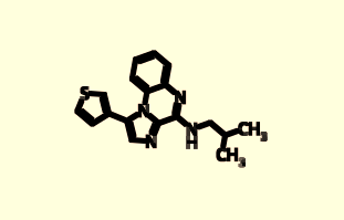 CC(C)CNc1nc2ccccc2n2c(-c3ccsc3)cnc12